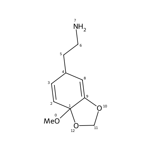 COC12C=CC(CCN)C=C1OCO2